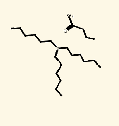 CCCC(=O)O.CCCCCCN(CCCCCC)CCCCCC